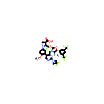 COc1ccc(N2N=CC(C(=O)O)C2C(F)(F)F)cc1-c1cnc(N2CC(F)(F)C2)nc1CN1C(=O)O[C@H](c2cc(C(F)(F)F)cc(C(F)(F)F)c2)[C@@H]1C